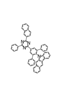 c1ccc(-c2nc(-c3cc(-c4ccccc4)c(-n4c5ccccc5c5cc6ccccc6cc54)c(-c4ccccc4)c3)nc(-c3ccc4ccccc4c3)n2)cc1